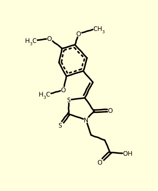 COc1cc(OC)c(OC)cc1C=C1SC(=S)N(CCC(=O)O)C1=O